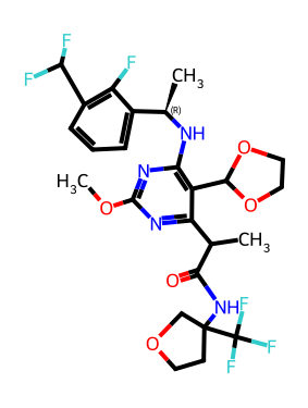 COc1nc(N[C@H](C)c2cccc(C(F)F)c2F)c(C2OCCO2)c(C(C)C(=O)NC2(C(F)(F)F)CCOC2)n1